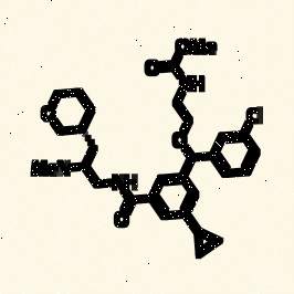 CNC(CNC(=O)c1cc(C2CC2)cc(C(OCCNC(=O)OC)c2cccc(Cl)c2)c1)C[C@H]1CCCOC1